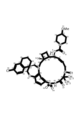 CCN1CC=C[C@H](OC(=O)N2CCC(OC)CC2)[C@@H]2CC[C@H]2CN2C[C@@]3(CCCc4cc(Cl)ccc43)COc3ccc(cc32)S(=O)(=O)NC(=O)C1(C)C